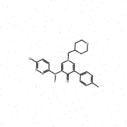 Cc1ccc(-c2cn(CC3CCOCC3)cc(N(F)c3ccc(Cl)nn3)c2=O)cc1